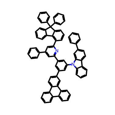 c1ccc(-c2cc(-c3cc(-c4ccc5c6ccccc6c6ccccc6c5c4)cc(-n4c5ccccc5c5ccc(-c6ccccc6)cc54)c3)nc(-c3cccc4c3-c3ccccc3C4(c3ccccc3)c3ccccc3)c2)cc1